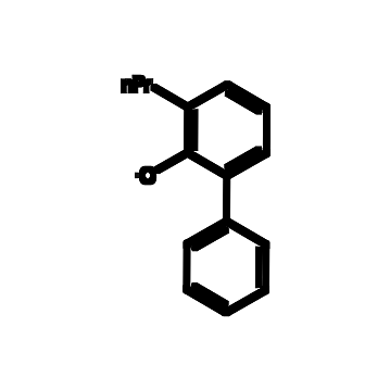 CCCc1cccc(-c2ccccc2)c1[O]